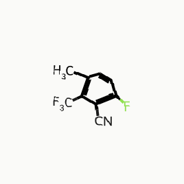 Cc1ccc(F)c(C#N)c1C(F)(F)F